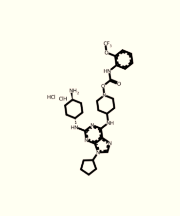 Cl.Cl.N[C@H]1CC[C@H](Nc2nc(NC3CCN(OC(=O)Nc4ccccc4OC(F)(F)F)CC3)c3ncn(C4CCCC4)c3n2)CC1